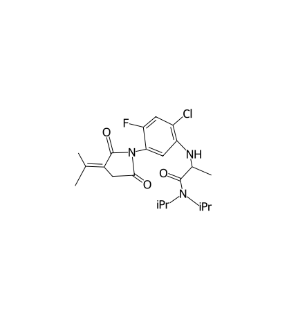 CC(C)=C1CC(=O)N(c2cc(NC(C)C(=O)N(C(C)C)C(C)C)c(Cl)cc2F)C1=O